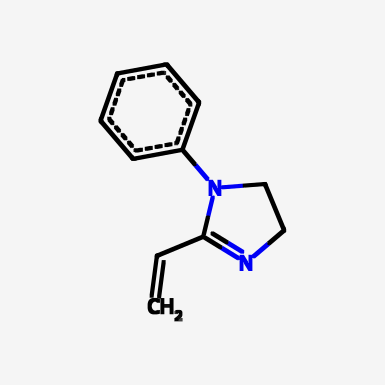 C=CC1=NCCN1c1ccccc1